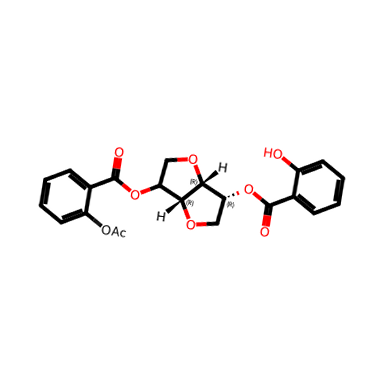 CC(=O)Oc1ccccc1C(=O)OC1CO[C@H]2[C@@H]1OC[C@H]2OC(=O)c1ccccc1O